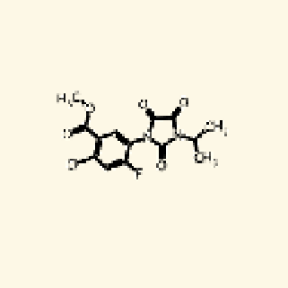 COC(=O)c1cc(N2C(=O)C(=O)N(C(C)C)C2=O)c(F)cc1Cl